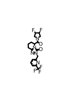 O=C(C1CCCc2nn(Cc3cccc(C(F)(F)F)n3)c(=O)n21)N1CC(F)C(F)C1